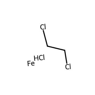 Cl.ClCCCl.[Fe]